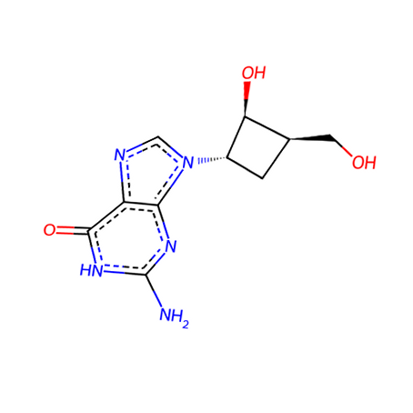 Nc1nc2c(ncn2[C@H]2C[C@H](CO)[C@@H]2O)c(=O)[nH]1